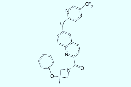 CC1(Oc2ccccc2)CN(C(=O)c2ccc3cc(Oc4ccc(C(F)(F)F)cn4)ccc3n2)C1